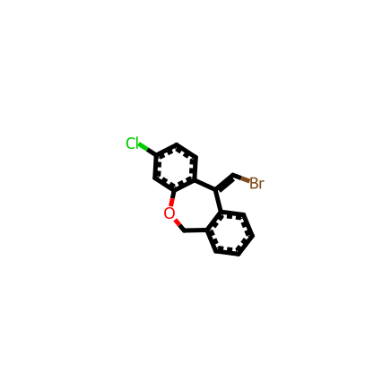 Clc1ccc2c(c1)OCc1ccccc1C2=CBr